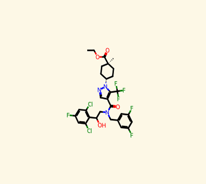 CCOC(=O)[C@]1(C)CC[C@@H](n2ncc(C(=O)N(Cc3cc(F)cc(F)c3)CC(O)c3c(Cl)cc(F)cc3Cl)c2C(F)(F)F)CC1